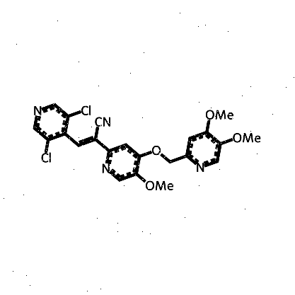 COc1cnc(COc2cc(C(C#N)=Cc3c(Cl)cncc3Cl)ncc2OC)cc1OC